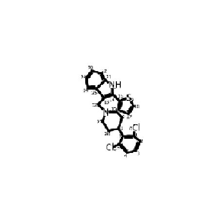 Clc1cccc(Cl)c1C1CCN(Cc2c(-c3cccs3)[nH]c3ccccc23)CC1